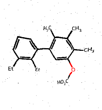 CCc1cccc(-c2cc(OC(=O)O)c(C)c(C)c2C)c1CC